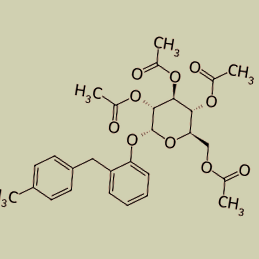 CC(=O)OC[C@H]1O[C@H](Oc2ccccc2Cc2ccc(C)cc2)[C@H](OC(C)=O)[C@@H](OC(C)=O)[C@@H]1OC(C)=O